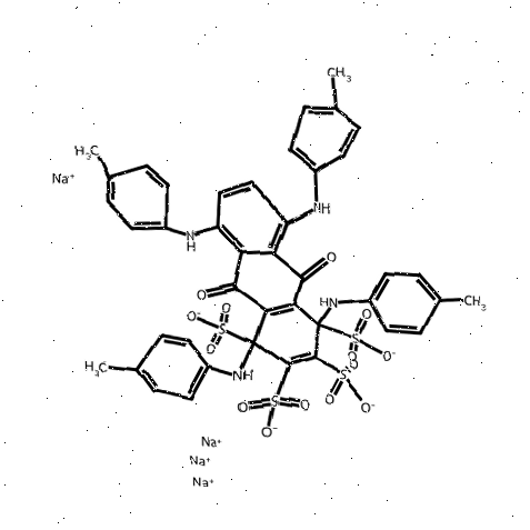 Cc1ccc(Nc2ccc(Nc3ccc(C)cc3)c3c2C(=O)C2=C(C3=O)C(Nc3ccc(C)cc3)(S(=O)(=O)[O-])C(S(=O)(=O)[O-])=C(S(=O)(=O)[O-])C2(Nc2ccc(C)cc2)S(=O)(=O)[O-])cc1.[Na+].[Na+].[Na+].[Na+]